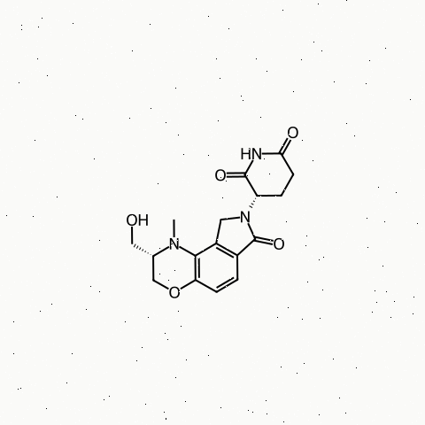 CN1c2c(ccc3c2CN([C@H]2CCC(=O)NC2=O)C3=O)OC[C@@H]1CO